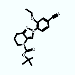 CCOc1cc(C#N)ccc1-n1cc2c(n1)CCCN2C(=O)OC(C)(C)C